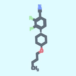 CCCCO[C@H]1CC[C@H](c2ccc(C#N)c(F)c2F)CC1